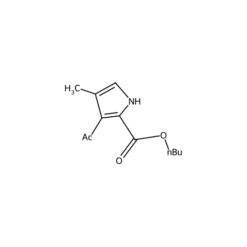 CCCCOC(=O)c1[nH]cc(C)c1C(C)=O